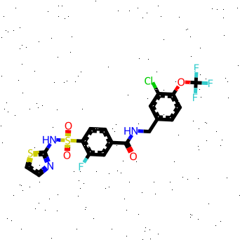 O=C(NCc1ccc(OC(F)(F)F)c(Cl)c1)c1ccc(S(=O)(=O)Nc2nccs2)c(F)c1